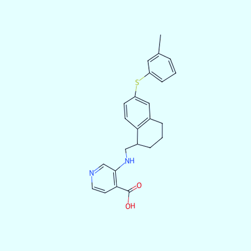 Cc1cccc(Sc2ccc3c(c2)CCCC3CNc2cnccc2C(=O)O)c1